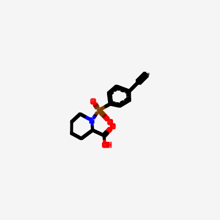 [C]#Cc1ccc(S(=O)(=O)N2CCCCC2C(=O)O)cc1